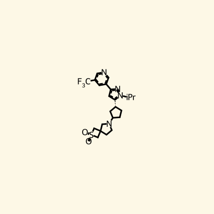 CC(C)n1nc(-c2cncc(C(F)(F)F)c2)cc1[C@@H]1CCC(N2CCC3(C2)CS(=O)(=O)C3)C1